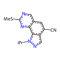 CSc1ncc2cc(C#N)c3cnn(C(C)C)c3c2n1